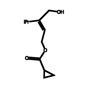 CC(C)/C(=C\COC(=O)C1CC1)CO